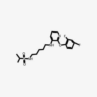 CC(C)S(=O)(=O)NCCCCCNc1cccnc1Oc1ccc(F)cc1F